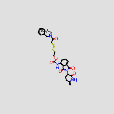 C=C1CCC(N2C(=O)c3cccc(NC(=O)OCCSSCC(=O)N(CC(=O)O)Cc4ccccc4)c3C2=O)C(=O)N1